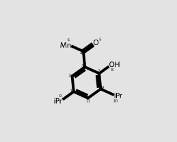 CC(C)c1cc([C](=O)[Mn])c(O)c(C(C)C)c1